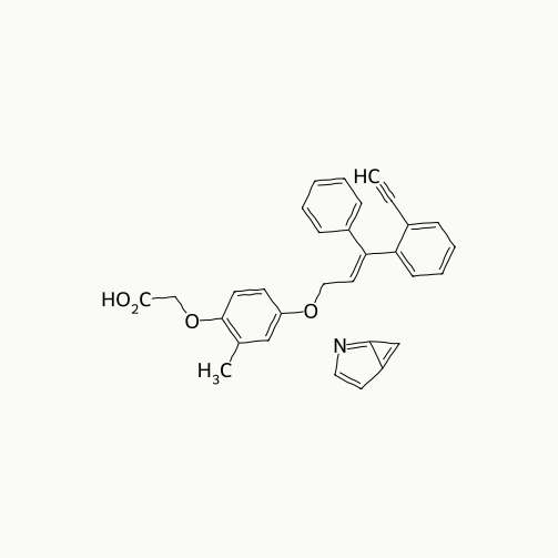 C#Cc1ccccc1C(=CCOc1ccc(OCC(=O)O)c(C)c1)c1ccccc1.c1cc2cc-2n1